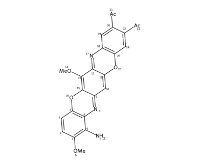 COc1ccc2c(c1N)N=c1cc3c(c(OC)c1O2)=Nc1cc(C(C)=O)c(C(C)=O)cc1O3